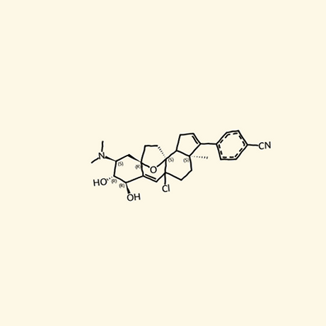 CN(C)[C@H]1C[C@@]23CC[C@]4(O2)C2CC=C(c5ccc(C#N)cc5)[C@@]2(C)CCC4(Cl)C=C3[C@@H](O)[C@@H]1O